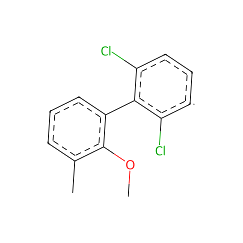 COc1c(C)cccc1-c1c(Cl)[c]ccc1Cl